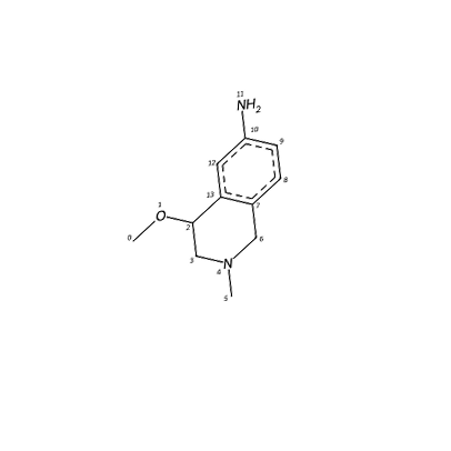 COC1CN(C)Cc2ccc(N)cc21